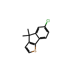 CC1(C)c2cc(Cl)ccc2-c2sccc21